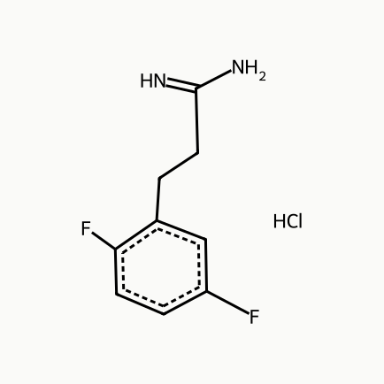 Cl.N=C(N)CCc1cc(F)ccc1F